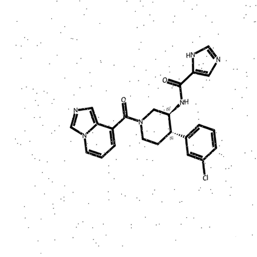 O=C(N[C@@H]1CN(C(=O)c2cccn3cncc23)CC[C@H]1c1cccc(Cl)c1)c1cnc[nH]1